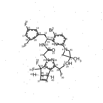 CC1(O)CN(c2ccc(Br)c([C@H](Cc3cc(F)cc(F)c3)NC(=O)Cn3nc(C(F)F)c4c3C(F)(F)[C@@H]3C=C[C@H]43)n2)C1